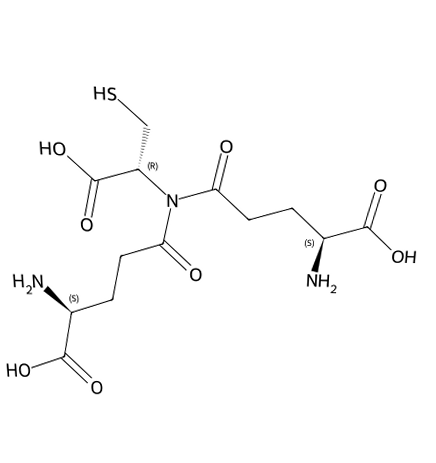 N[C@@H](CCC(=O)N(C(=O)CC[C@H](N)C(=O)O)[C@@H](CS)C(=O)O)C(=O)O